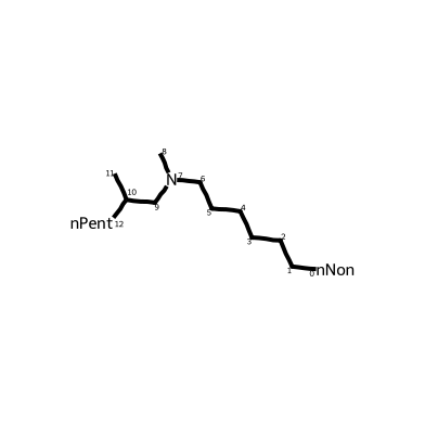 CCCCCCCCCCCCCCCN(C)CC(C)CCCCC